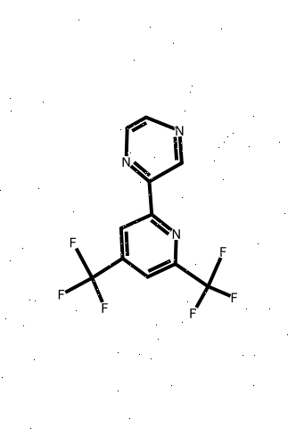 FC(F)(F)c1cc(-c2cnccn2)nc(C(F)(F)F)c1